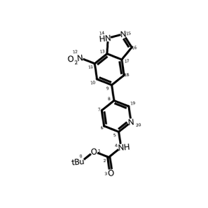 CC(C)(C)OC(=O)Nc1ccc(-c2cc([N+](=O)[O-])c3[nH]ncc3c2)cn1